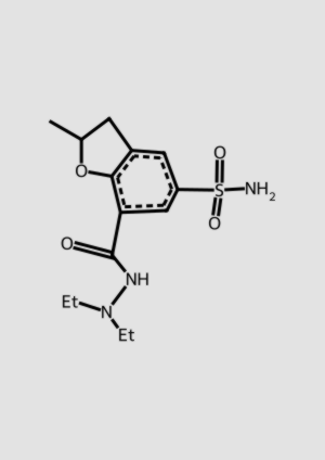 CCN(CC)NC(=O)c1cc(S(N)(=O)=O)cc2c1OC(C)C2